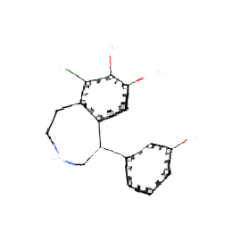 Br.Oc1cccc(C2CNCCc3c2cc(O)c(O)c3Cl)c1